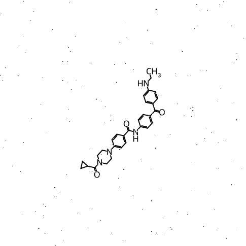 CCNc1ccc(C(=O)c2ccc(NC(=O)c3ccc(N4CCN(C(=O)C5CC5)CC4)cc3)cc2)cc1